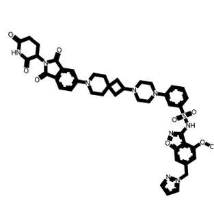 COc1cc(Cn2cccn2)cc2onc(NS(=O)(=O)c3cccc(N4CCN(C5CC6(CCN(c7ccc8c(c7)C(=O)N(C7CCC(=O)NC7=O)C8=O)CC6)C5)CC4)c3)c12